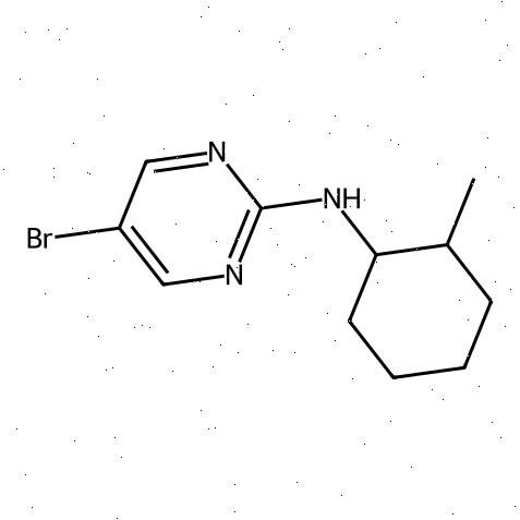 CC1CCCCC1Nc1ncc(Br)cn1